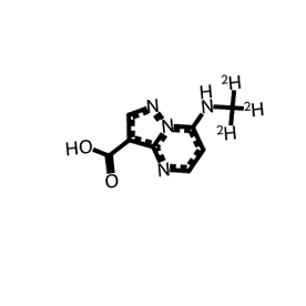 [2H]C([2H])([2H])Nc1ccnc2c(C(=O)O)cnn12